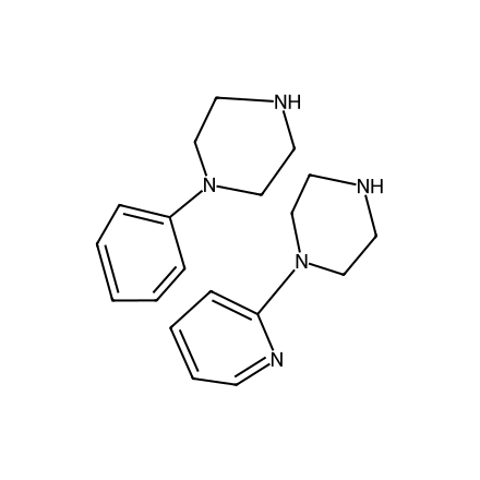 c1ccc(N2CCNCC2)cc1.c1ccc(N2CCNCC2)nc1